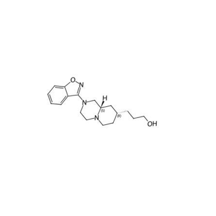 OCCC[C@@H]1CCN2CCN(c3noc4ccccc34)C[C@@H]2C1